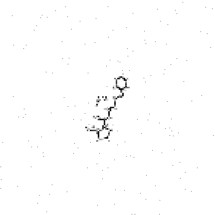 CNC.N#C[C@@H]1CCCN1C(=O)CNCCOc1ccccc1